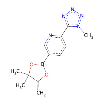 C=C1OB(c2ccc(-c3nnnn3C)nc2)OC1(C)C